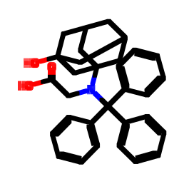 O=C(O)CN(C12CC3CC(CC(O)(C3)C1)C2)C(c1ccccc1)(c1ccccc1)c1ccccc1